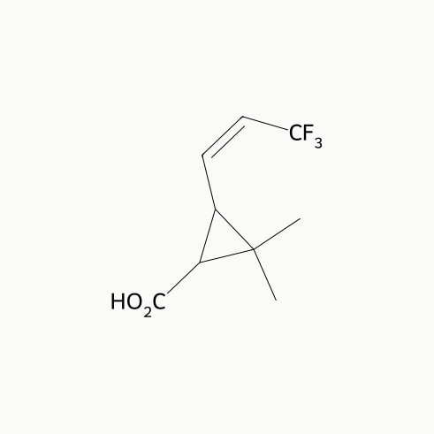 CC1(C)C(/C=C\C(F)(F)F)C1C(=O)O